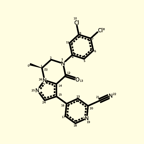 C[C@H]1CN(c2ccc(Cl)c(Cl)c2)C(=O)c2c(-c3ccnc(C#N)c3)cnn21